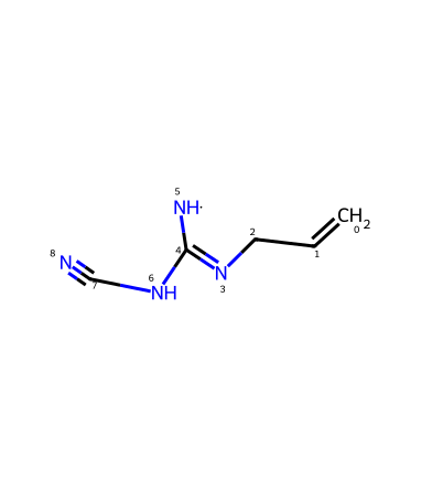 C=CC/N=C(\[NH])NC#N